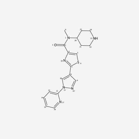 CN(C(=O)c1csc(-c2cnn(-c3ccccn3)c2)n1)C1CCNCC1